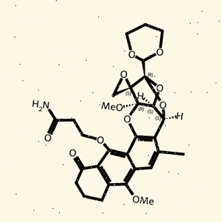 COc1c2c(c(OCCC(N)=O)c3c4c(c(C)cc13)[C@@H]1O[C@@]3(C5OCCCO5)O[C@@H]1[C@@](OC)(O4)[C@@]31CO1)C(=O)CCC2